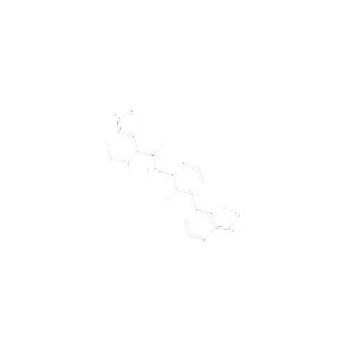 Cc1c(NC(=O)C2NCCc3ncsc32)cccc1-c1cccc2[nH]ncc12